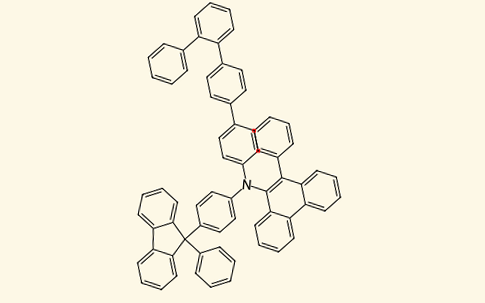 c1ccc(-c2ccccc2-c2ccc(-c3ccc(N(c4ccc(C5(c6ccccc6)c6ccccc6-c6ccccc65)cc4)c4c(-c5ccccc5)c5ccccc5c5ccccc45)cc3)cc2)cc1